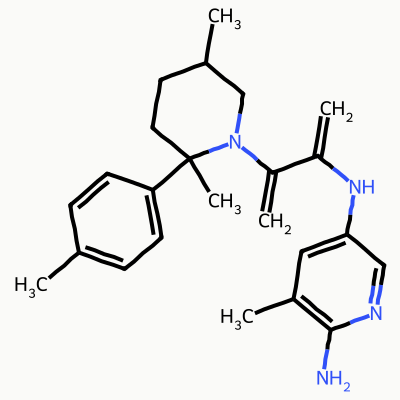 C=C(Nc1cnc(N)c(C)c1)C(=C)N1CC(C)CCC1(C)c1ccc(C)cc1